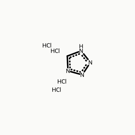 Cl.Cl.Cl.Cl.c1nnn[nH]1